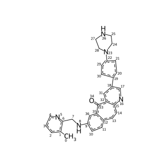 Cc1cccnc1CNc1ccc2ccc3ncc(-c4ccc(N5CCNCC5)cc4)cc3c(=O)c2c1